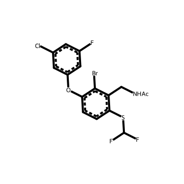 CC(=O)NCc1c(SC(F)F)ccc(Oc2cc(F)cc(Cl)c2)c1Br